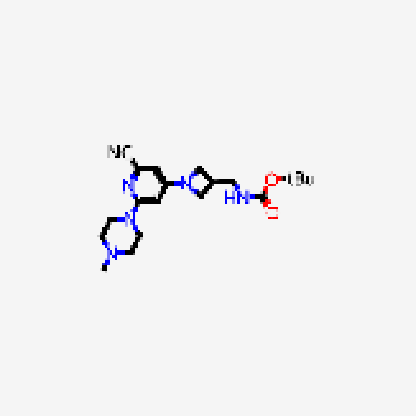 CN1CCN(c2cc(N3CC(CNC(=O)OC(C)(C)C)C3)cc(C#N)n2)CC1